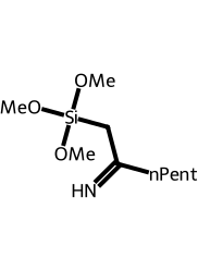 CCCCCC(=N)C[Si](OC)(OC)OC